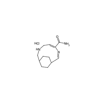 Cl.NC(=O)C1=CCNCC2CCC(C=N1)CC2